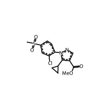 COC(=O)c1cnn(-c2ccc(S(C)(=O)=O)cc2Cl)c1C1CC1